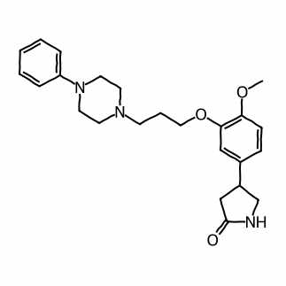 COc1ccc(C2CNC(=O)C2)cc1OCCCN1CCN(c2ccccc2)CC1